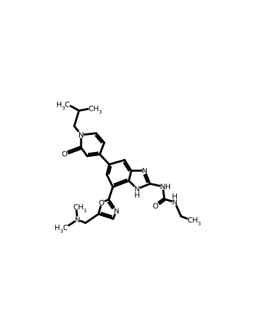 CCNC(=O)Nc1nc2cc(-c3ccn(CC(C)C)c(=O)c3)cc(-c3ncc(CN(C)C)o3)c2[nH]1